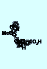 COc1cc2c(cc1OCCCC(=O)Nn1c(C(=O)Nc3ccc(C(=O)O)cc3)nc(C)c1C)N=CC1CCCCN1C2=O